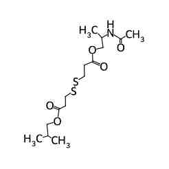 CC(=O)NC(C)COC(=O)CCSSCCC(=O)OCC(C)C